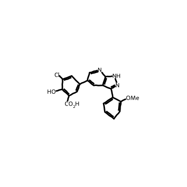 COc1ccccc1-c1n[nH]c2ncc(-c3cc(Cl)c(O)c(C(=O)O)c3)cc12